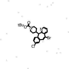 CC(C)(C)OC(=O)N1CCC(C2c3ccc(Cl)cc3C=C(Br)c3cccnc32)CC1